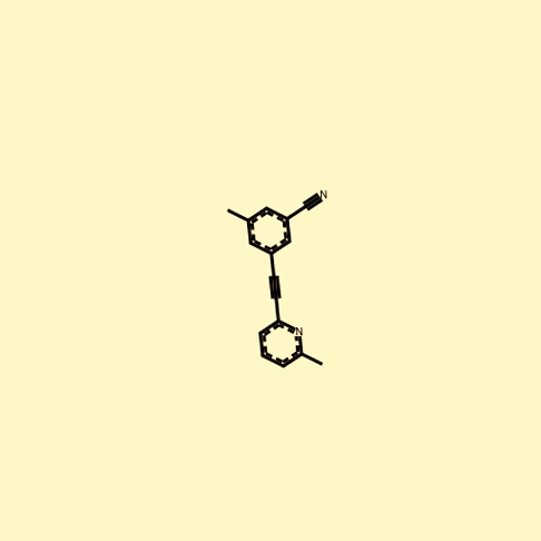 Cc1cc(C#N)cc(C#Cc2cccc(C)n2)c1